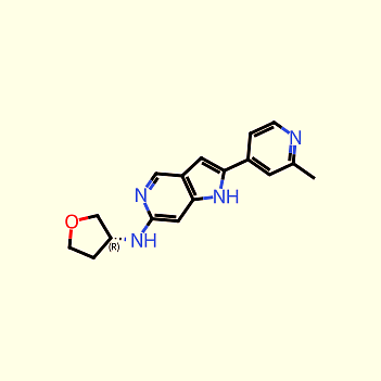 Cc1cc(-c2cc3cnc(N[C@@H]4CCOC4)cc3[nH]2)ccn1